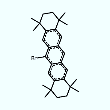 CC1(C)CCC(C)(C)c2cc3c(Br)c4cc5c(cc4cc3cc21)C(C)(C)CCC5(C)C